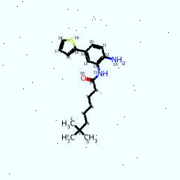 CC(C)(C)CCCCCC(=O)Nc1cc(-c2cccs2)ccc1N